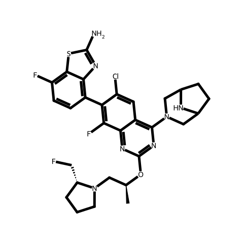 C[C@@H](CN1CCC[C@@H]1CF)Oc1nc(N2CC3CCC(C2)N3)c2cc(Cl)c(-c3ccc(F)c4sc(N)nc34)c(F)c2n1